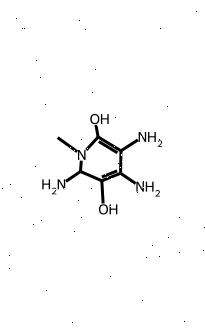 CN1C(O)=C(N)C(N)=C(O)C1N